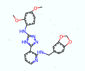 COc1ccc(Nc2nnc(-c3cccnc3NCc3ccc4c(c3)OCO4)[nH]2)c(OC)c1